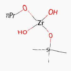 CCC[O][Zr]([OH])([OH])[O][Si](C)(C)C